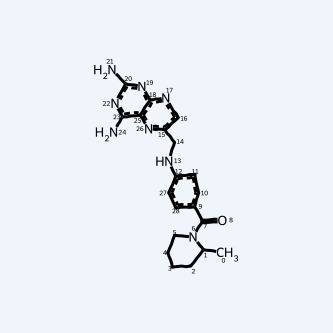 CC1CCCCN1C(=O)c1ccc(NCc2cnc3nc(N)nc(N)c3n2)cc1